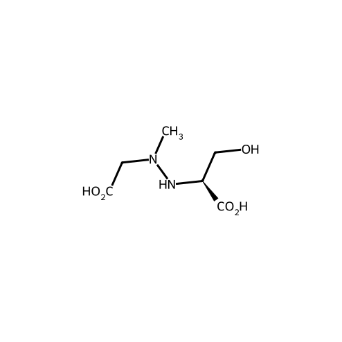 CN(CC(=O)O)N[C@@H](CO)C(=O)O